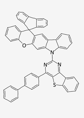 c1ccc(-c2ccc(-c3nc(-n4c5ccccc5c5cc6c(cc54)Oc4ccccc4C64c5ccccc5-c5ccccc54)nc4c3sc3ccccc34)cc2)cc1